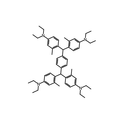 CCN(CC)c1ccc(C(c2ccc(C(c3ccc(N(CC)CC)cc3C)c3ccc(N(CC)CC)cc3C)cc2)c2ccc(N(CC)CC)cc2C)c(C)c1